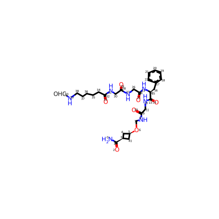 NC(=O)[C@H]1C[C@@H](OCNC(=O)CNC(=O)[C@H](Cc2ccccc2)NC(=O)CNC(=O)CNC(=O)CCCCCNC=O)C1